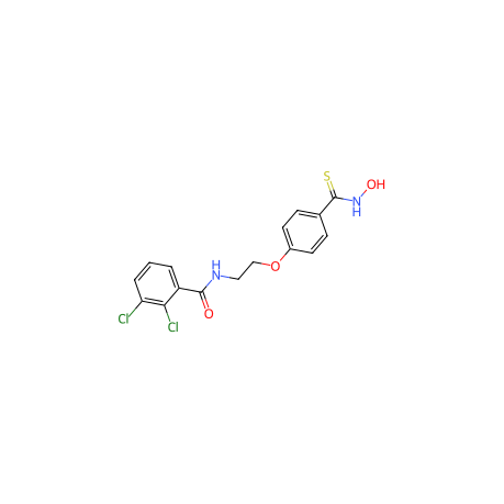 O=C(NCCOc1ccc(C(=S)NO)cc1)c1cccc(Cl)c1Cl